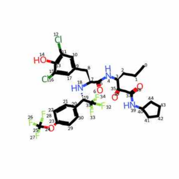 CCC[C@H](NC(=O)[C@H](Cc1cc(Cl)c(O)c(Cl)c1)N[C@@H](c1ccc(OC(F)(F)F)cc1)C(F)(F)F)C(=O)C(=O)NC1CCCC1